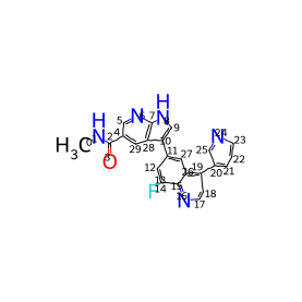 CNC(=O)c1cnc2[nH]cc(-c3cc(F)c4nccc(-c5cccnc5)c4c3)c2c1